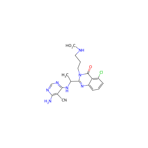 CC(Nc1ncnc(N)c1C#N)c1nc2cccc(Cl)c2c(=O)n1CCCNC(=O)O